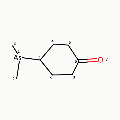 C[As](C)C1CCC(=O)CC1